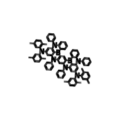 Cc1ccc(C)c(N(c2cc3c4c(c2)N(c2ccccc2)c2cc5c(cc2B4c2ccccc2N3c2ccccc2)B2c3ccccc3N(c3ccccc3)c3cc(N(c4cc(C)ccc4C)c4cc(C)ccc4C)cc(c32)N5c2ccccc2)c2cc(C)ccc2C)c1